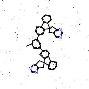 Cc1cc(-c2ccc3c(c2)C2(Cc4cncnc4C2)c2ccccc2-3)cc(-c2ccc3c(c2)C2(Cc4cncnc4C2)c2ccccc2-3)c1